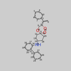 C=C(c1ccccc1)C1COC2(CCC(Nc3ccccc3-c3ccccc3)CC2)OO1